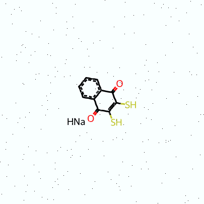 O=C1C(S)=C(S)C(=O)c2ccccc21.[NaH]